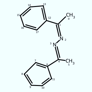 CC(=NN=C(C)c1ccccc1)c1ccccc1